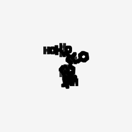 Cc1c(C(=O)NCC(C)(C)O)cc(-c2ccc(S(=O)(=O)NC(C)(C)C)c3nccn23)n1CC1CCCCC1